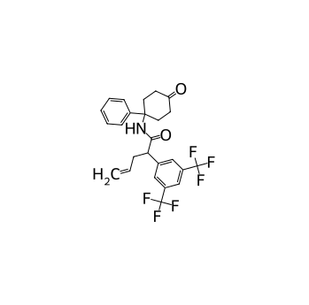 C=CCC(C(=O)NC1(c2ccccc2)CCC(=O)CC1)c1cc(C(F)(F)F)cc(C(F)(F)F)c1